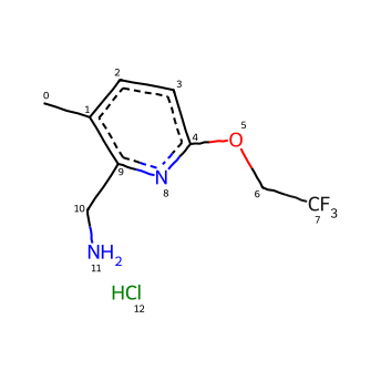 Cc1ccc(OCC(F)(F)F)nc1CN.Cl